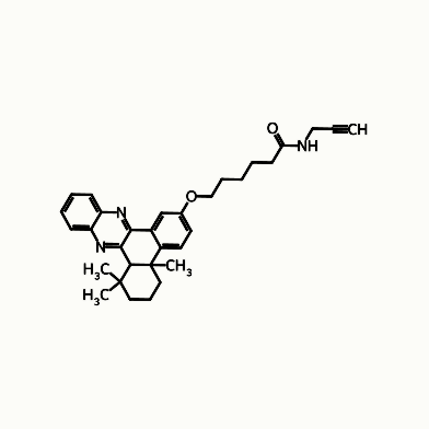 C#CCNC(=O)CCCCCOc1ccc2c(c1)-c1nc3ccccc3nc1C1C(C)(C)CCCC21C